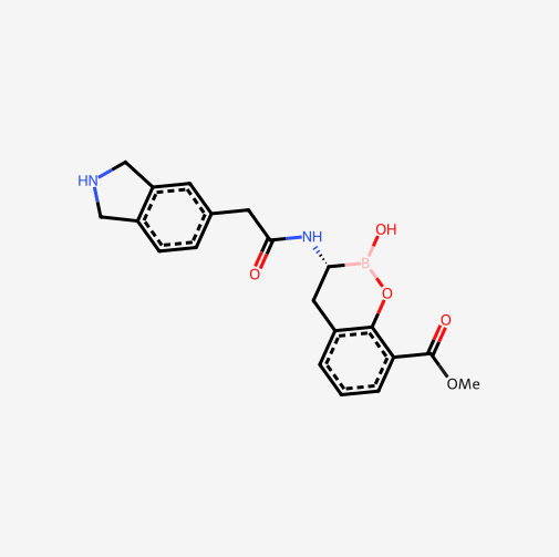 COC(=O)c1cccc2c1OB(O)[C@@H](NC(=O)Cc1ccc3c(c1)CNC3)C2